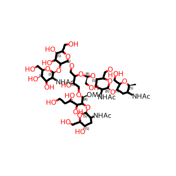 CO[C@H](OC[C@H](O)C(CO[C@H]1OC(CO)[C@@H](O)C(O)C1O[C@@H]1OC(CO)[C@@H](O)C(O)C1NC(C)=O)O[C@H](CO)O[C@H]1CC(NC(C)=O)[C@H](O[C@H]2CC(NC(C)=O)[C@H](C)OC2CO)OC1CO)C(O[C@@H]1OC(CO)[C@@H](O)CC1NC(C)=O)C(O)[C@H](O)CCO